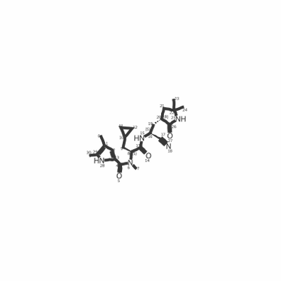 Cc1cc(C(=O)N(C)[C@@H](CC2CC2)C(=O)N[C@H](C#N)C[C@@H]2CC(C)(C)NC2=O)[nH]c1C